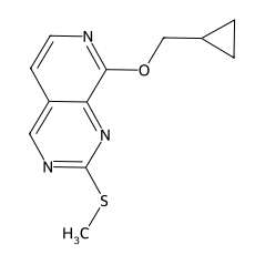 CSc1ncc2ccnc(OCC3CC3)c2n1